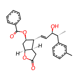 Cc1cccc([C@@H](C)[C@H](O)C=C[C@@H]2[C@H]3CC(=O)O[C@H]3C[C@H]2OC(=O)c2ccccc2)c1